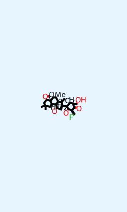 COC(=O)[C@]12CCC(C)(C)C[C@H]1[C@H]1C(=O)C=C3[C@@]4(C)C(=O)/C(=C\F)C(=O)[C@](C)(CO)[C@@H]4CC[C@@]3(C)[C@]1(C)CC2